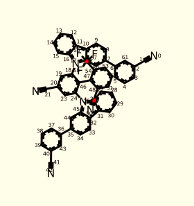 N#Cc1cccc(-c2ccc3c4ccccc4n(-c4cc(C#N)cc(-n5c6ccccc6c6ccc(-c7cccc(C#N)c7)cc65)c4-c4c(C#N)cccc4C(F)(F)F)c3c2)c1